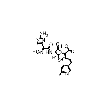 Cc1ccc(/C=C\C2=C(C(=O)O)N3C(=O)[C@@H](NC(=O)C(=NO)c4csc(N)n4)[C@@H]3SC2)cn1